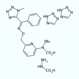 Cn1nnnc1C(=NOCc1cccc(N(C(=O)O)C(C)(C)C)n1)c1ccccc1.NNC(=O)O.c1nn[nH]n1.c1nn[nH]n1